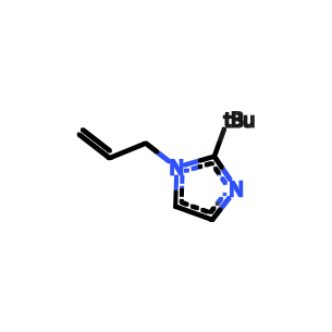 C=CCn1ccnc1C(C)(C)C